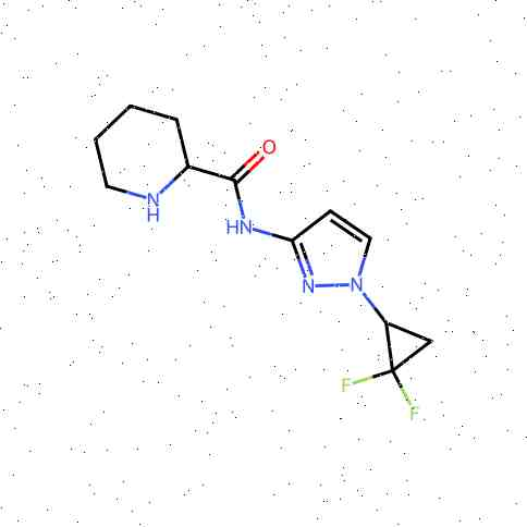 O=C(Nc1ccn(C2CC2(F)F)n1)C1CCCCN1